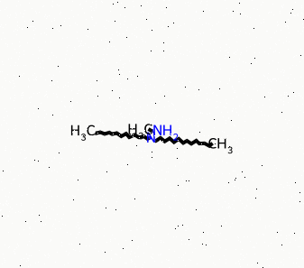 CCCCCCCCCCCCCCN(CCCCCCCCCCCCCC)C(C)N